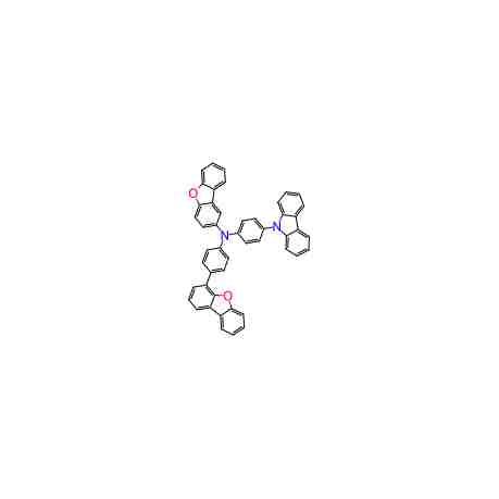 c1ccc2c(c1)oc1ccc(N(c3ccc(-c4cccc5c4oc4ccccc45)cc3)c3ccc(-n4c5ccccc5c5ccccc54)cc3)cc12